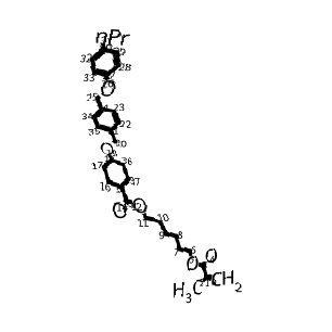 C=C(C)C(=O)OCCCCCCOC(=O)C1CCC(OCc2ccc(COc3ccc(CCC)cc3)cc2)CC1